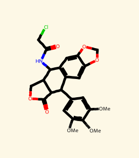 COc1cc(C2c3cc4c(cc3C(NC(=O)CCl)C3COC(=O)C23)OCO4)cc(OC)c1OC